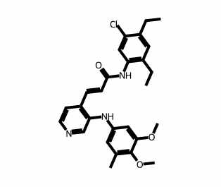 CCc1cc(CC)c(NC(=O)/C=C/c2ccncc2Nc2cc(C)c(OC)c(OC)c2)cc1Cl